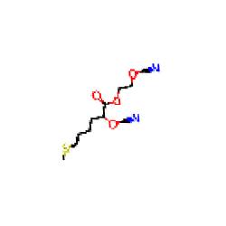 CSCCCCC(OC#N)C(=O)OCCOC#N